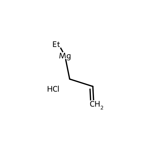 C=C[CH2][Mg][CH2]C.Cl